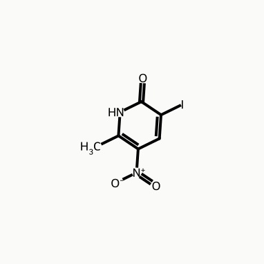 Cc1[nH]c(=O)c(I)cc1[N+](=O)[O-]